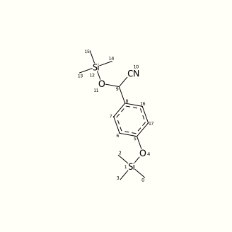 C[Si](C)(C)Oc1ccc(C(C#N)O[Si](C)(C)C)cc1